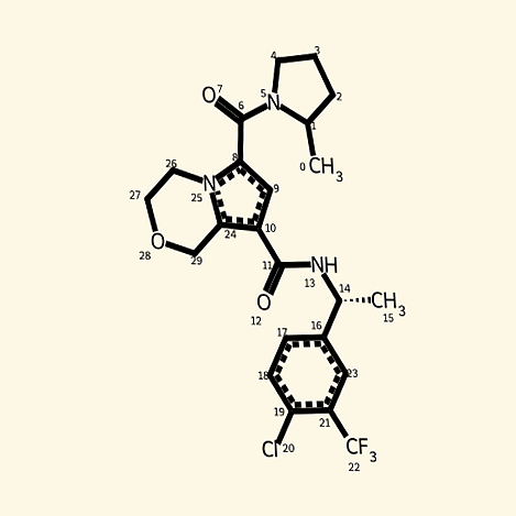 CC1CCCN1C(=O)c1cc(C(=O)N[C@H](C)c2ccc(Cl)c(C(F)(F)F)c2)c2n1CCOC2